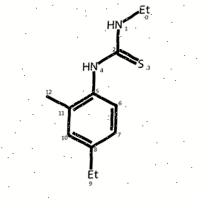 CCNC(=S)Nc1ccc(CC)cc1C